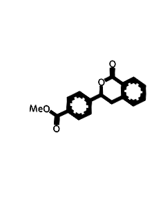 COC(=O)c1ccc(C2Cc3ccccc3C(=O)O2)cc1